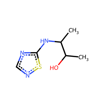 CC(O)C(C)Nc1ncns1